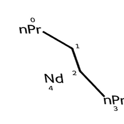 C[CH]CCCCCC.[Nd]